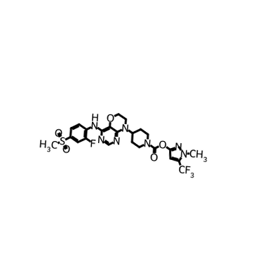 Cn1nc(OC(=O)N2CCC(N3CCOc4c(Nc5ccc(S(C)(=O)=O)cc5F)ncnc43)CC2)cc1C(F)(F)F